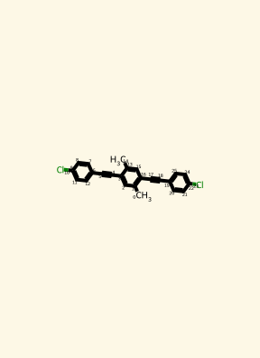 Cc1cc(C#Cc2ccc(Cl)cc2)c(C)cc1C#Cc1ccc(Cl)cc1